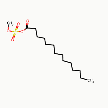 CCCCCCCCCCCCCC(=O)OS(=O)(=O)OC